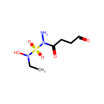 CCN(O)S(=O)(=O)N(N)C(=O)CC[C]=O